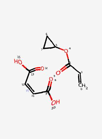 C=CC(=O)OC1CC1.O=C(O)/C=C\C(=O)O